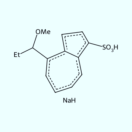 CCC(OC)c1ccccc2c(S(=O)(=O)O)ccc1-2.[NaH]